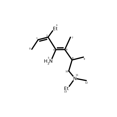 C/C=C(CC)\C(N)=C(/C)C(C)CN(C)CC